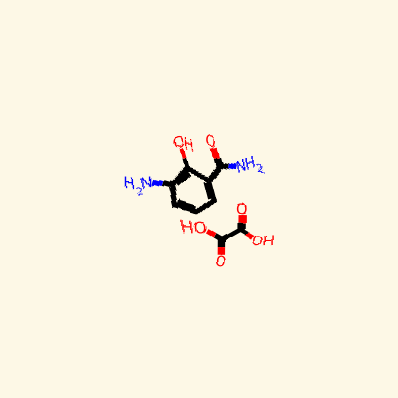 NC(=O)c1cccc(N)c1O.O=C(O)C(=O)O